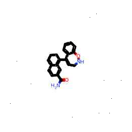 NC(=O)c1ccc2c(c1)=C(C1=CCNOc3ccccc31)CCC=2